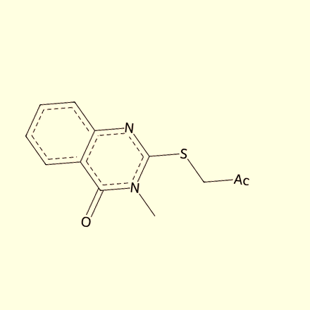 CC(=O)CSc1nc2ccccc2c(=O)n1C